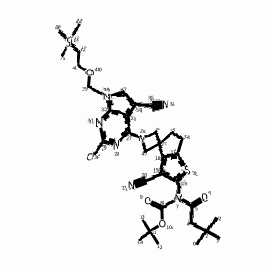 CC(C)(C)CC(=O)N(C(=O)OC(C)(C)C)c1sc2c(c1C#N)C1(CC2)CN(c2nc(Cl)nc3c2c(C#N)cn3COCC[Si](C)(C)C)C1